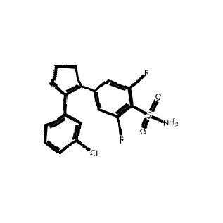 NS(=O)(=O)c1c(F)cc(C2=C(c3cccc(Cl)c3)CCC2)cc1F